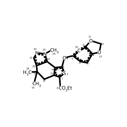 CCOC(=O)c1sc(Oc2ccc3c(c2)OCO3)c2c1CC(C)(C)c1cnn(C)c1-2